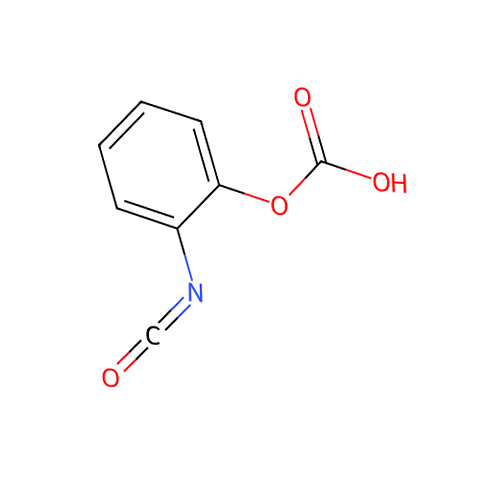 O=C=Nc1ccccc1OC(=O)O